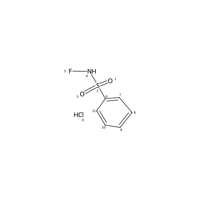 Cl.O=S(=O)(NF)c1ccccc1